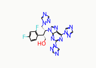 OC[C@H](c1ccc(F)cc1F)[C@H](Cn1cncn1)n1cnc2c(-n3cncn3)nc(-n3cncn3)nc21